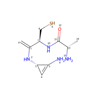 C=C(N[C@H]1C=C1N)[C@@H](CS)NC(=O)[C@H](C)N